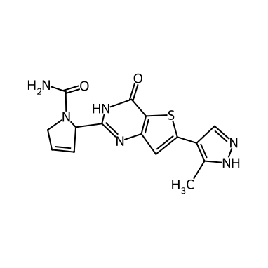 Cc1[nH]ncc1-c1cc2nc(C3C=CCN3C(N)=O)[nH]c(=O)c2s1